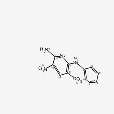 Nc1nc(Nc2ccccc2)c([N+](=O)[O-])cc1[N+](=O)[O-]